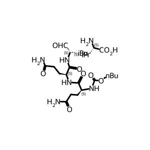 CC(C)[C@H](N)C(=O)O.CCCCOC(=O)N[C@@H](CCC(N)=O)C(=O)N[C@@H](CCC(N)=O)C(=O)N[C@H](C=O)[C@@H](C)CC